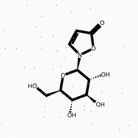 O=c1ccn([C@@H]2O[C@H](CO)[C@@H](O)[C@H](O)[C@H]2O)o1